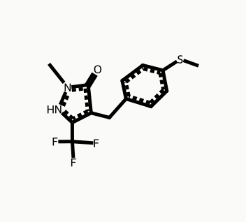 CSc1ccc(Cc2c(C(F)(F)F)[nH]n(C)c2=O)cc1